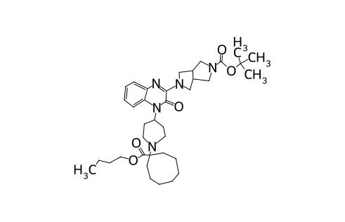 CCCCOC(=O)C1(N2CCC(n3c(=O)c(N4CC5CN(C(=O)OC(C)(C)C)CC5C4)nc4ccccc43)CC2)CCCCCCC1